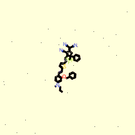 CCCN(C)c1ccc(/C=C/c2ccc(/C=C/C3=C(C#N)C(=C(C#N)C#N)CC3(c3ccccc3)C(F)(F)F)s2)c(OCc2ccccc2)c1